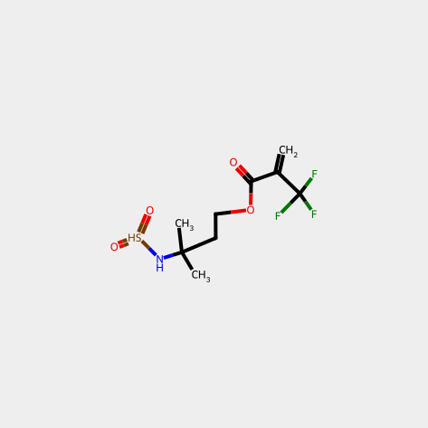 C=C(C(=O)OCCC(C)(C)N[SH](=O)=O)C(F)(F)F